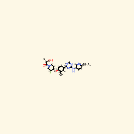 CC(=O)Nc1ccc(Nc2ncnc(-c3ccc(O[C@H]4CCN(C(=O)[C@H](C)O)C[C@H]4F)c(C#N)c3)n2)cn1